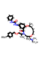 COc1ccc(COC[C@H](C)N2C[C@@H](C)[C@H](CN(C)C(=O)O)OCCCC[C@H](C)Oc3ccc(NC(=O)Nc4ccccc4)cc3C2=O)cc1